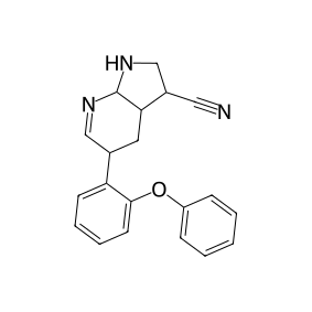 N#CC1CNC2N=CC(c3ccccc3Oc3ccccc3)CC12